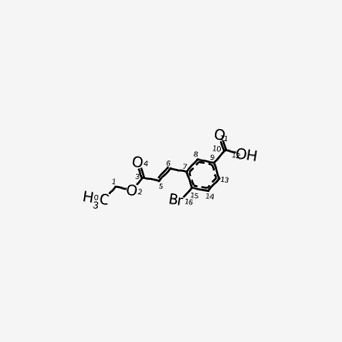 CCOC(=O)/C=C/c1cc(C(=O)O)ccc1Br